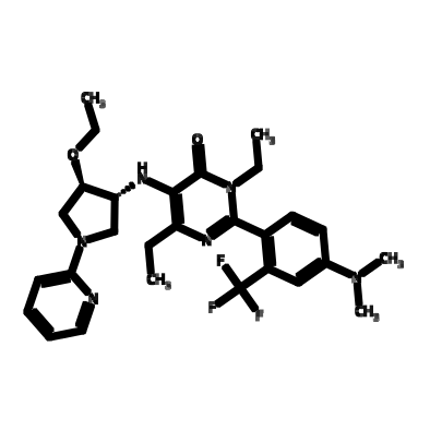 CCO[C@@H]1CN(c2ccccn2)C[C@H]1Nc1c(CC)nc(-c2ccc(N(C)C)cc2C(F)(F)F)n(CC)c1=O